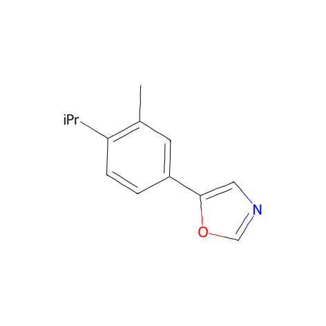 Cc1cc(-c2cnco2)ccc1C(C)C